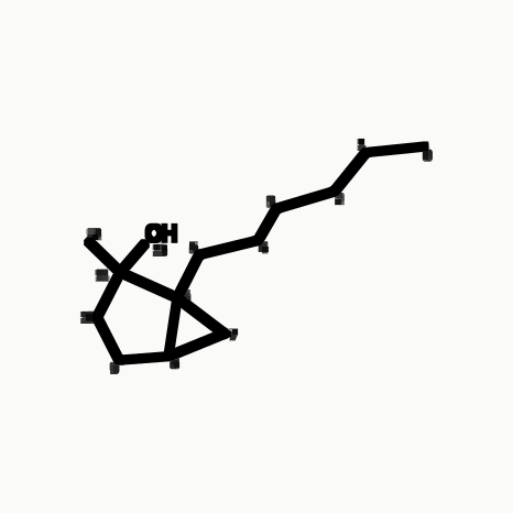 CCCCCCC12CC1CCC2(C)O